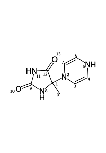 CC1(N2C=CNC=C2)NC(=O)NC1=O